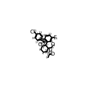 CC(=O)[C@@H]1CCC[C@@]2(S(=O)(=O)c3ccc(Cl)cc3)c3c(F)ccc(F)c3OC[C@@H]12